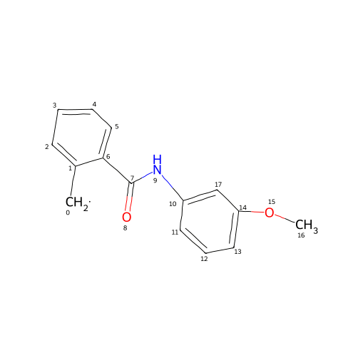 [CH2]c1ccccc1C(=O)Nc1cccc(OC)c1